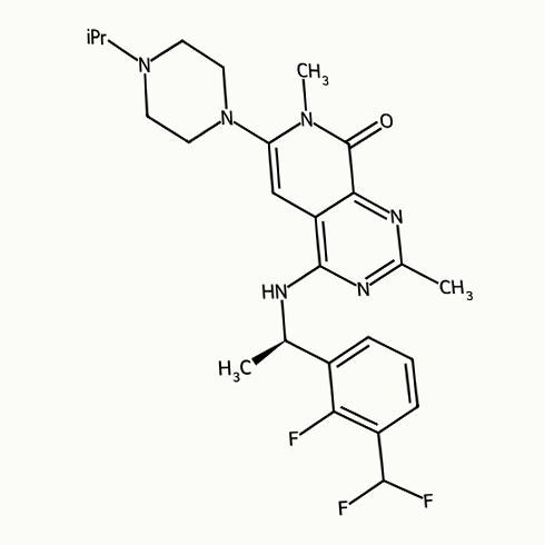 Cc1nc(N[C@H](C)c2cccc(C(F)F)c2F)c2cc(N3CCN(C(C)C)CC3)n(C)c(=O)c2n1